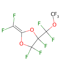 FC(F)=C1OC(F)(F)C(F)(C(F)(F)OC(F)(F)F)O1